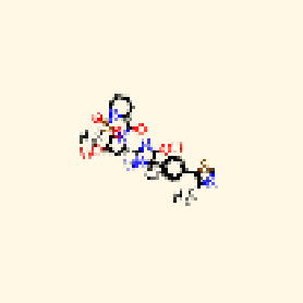 Cc1ncsc1-c1ccc([C@]2(C)NC([C@@H]3C[C@@H](O)CN3C(=O)[C@@H]3CCCCN3S(C)(=O)=O)=NC2O)cc1